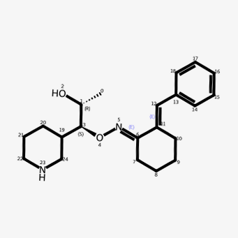 C[C@@H](O)[C@@H](O/N=C1\CCCC\C1=C/c1ccccc1)C1CCCNC1